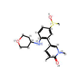 Cc1cc(-c2cc([S+](C)[O-])ccc2NC2CCOCC2)cn(C)c1=O